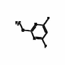 Fc1cc(F)nc(OC(F)(F)F)n1